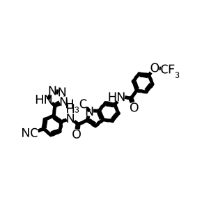 Cn1c(C(=O)Nc2ccc(C#N)cc2-c2nnn[nH]2)cc2ccc(NC(=O)c3ccc(OC(F)(F)F)cc3)cc21